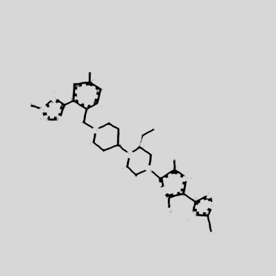 CC[C@H]1CN(c2nc(N)c(-c3nnc(C)o3)nc2Cl)CCN1C1CCN(Cc2ccc(Cl)cc2-c2nnn(C)n2)CC1